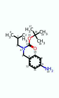 CC(C)CN(Cc1ccc(N)cc1)C(=O)OC(C)(C)C